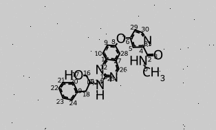 CNC(=O)c1cc(Oc2ccc3nc(N[C@H](CO)Cc4ccccc4)ncc3c2)ccn1